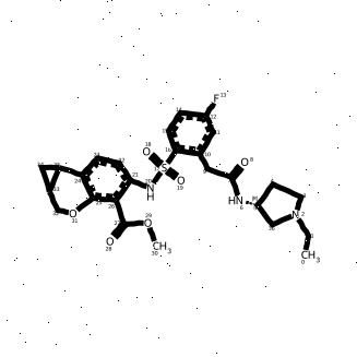 CCN1CC[C@@H](NC(=O)Cc2cc(F)ccc2S(=O)(=O)Nc2ccc3c(c2C(=O)OC)OCC2CC32)C1